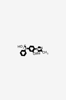 COc1cc(N(C(=O)O)c2ccccc2)ccc1-n1cnc(C)c1